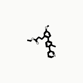 CCOC(=O)CCc1cc(OC)ccc1-c1ccc(-c2cccnc2)c(C)c1